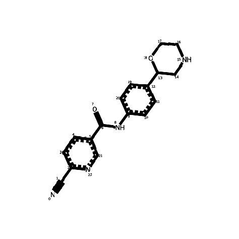 N#Cc1ccc(C(=O)Nc2ccc(C3CNCCO3)cc2)cn1